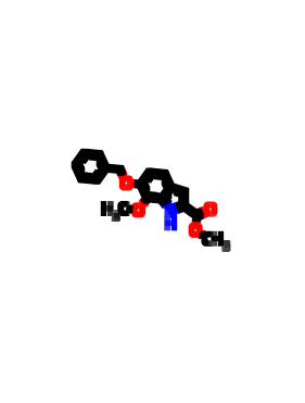 COC(=O)c1cc2ccc(OCc3ccccc3)c(OC)c2[nH]1